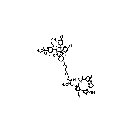 CCOc1cc(C(C)(C)C)ccc1C1=N[C@]2(c3ccc(Cl)cc3)c3cc(Cl)ccc3[C@@]2(C)N1C(=O)N1CCN(CCOCCOCCC(=O)N(C)CCn2nc(C#N)c3c2CN(C)C(=O)c2ccc(F)cc2[C@H]2CCCN2c2cc-3cnc2N)CC1